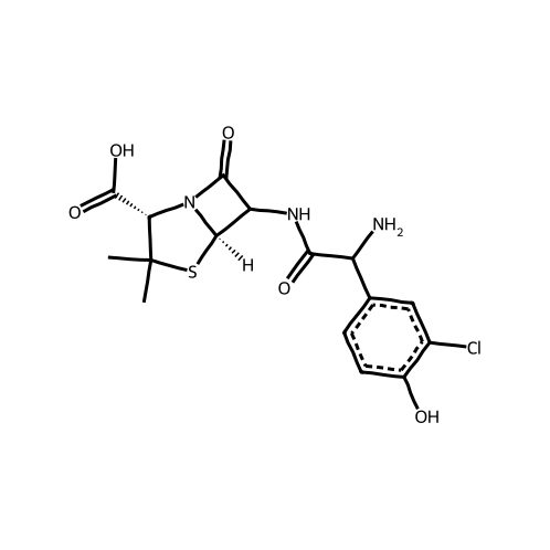 CC1(C)S[C@@H]2C(NC(=O)C(N)c3ccc(O)c(Cl)c3)C(=O)N2[C@H]1C(=O)O